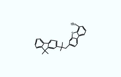 CC(C)(C)c1cccc2c1sc1cc(CC(C)(C)c3ccc4c(c3)C(C)(C)c3ccccc3-4)ccc12